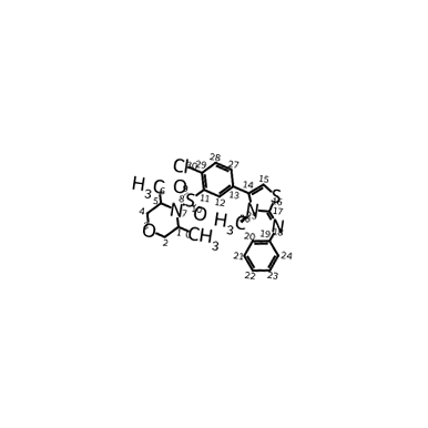 CC1COCC(C)N1S(=O)(=O)c1cc(-c2csc(=Nc3ccccc3)n2C)ccc1Cl